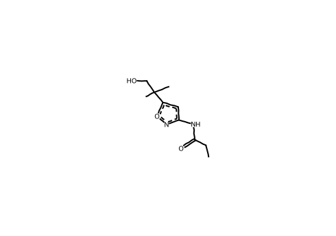 CCC(=O)Nc1cc(C(C)(C)CO)on1